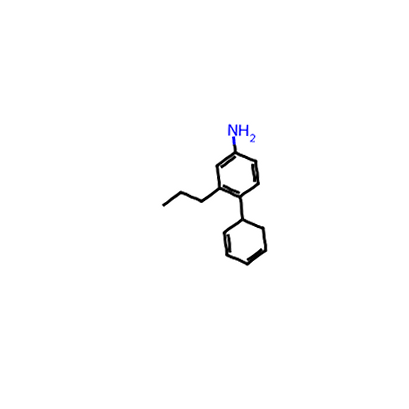 CCCc1cc(N)ccc1C1C=CC=CC1